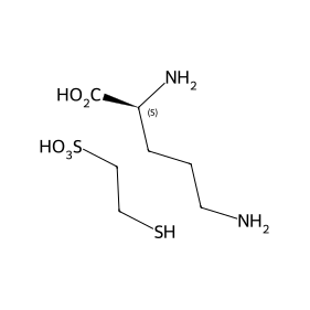 NCCC[C@H](N)C(=O)O.O=S(=O)(O)CCS